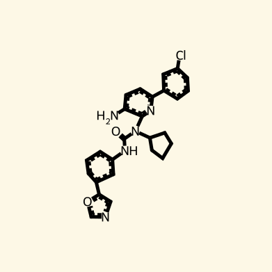 Nc1ccc(-c2cccc(Cl)c2)nc1N(C(=O)Nc1cccc(-c2cnco2)c1)C1CCCC1